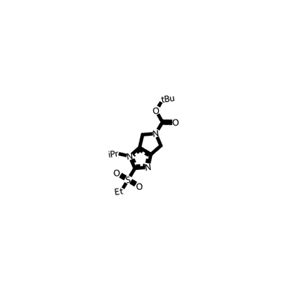 CCS(=O)(=O)c1nc2c(n1C(C)C)CN(C(=O)OC(C)(C)C)C2